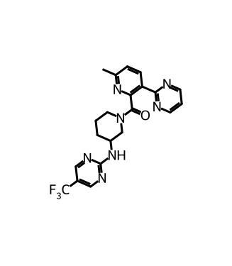 Cc1ccc(-c2ncccn2)c(C(=O)N2CCCC(Nc3ncc(C(F)(F)F)cn3)C2)n1